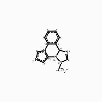 O=C(O)N1C=NC2c3ccccc3-n3cncc3N21